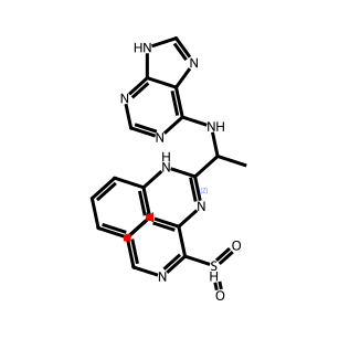 CC(Nc1ncnc2[nH]cnc12)/C(=N/c1nccnc1[SH](=O)=O)Nc1ccccc1